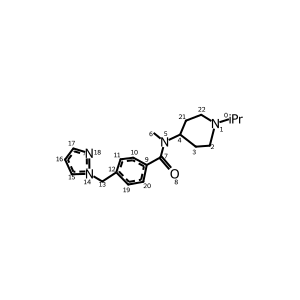 CC(C)N1CCC(N(C)C(=O)c2ccc(Cn3cccn3)cc2)CC1